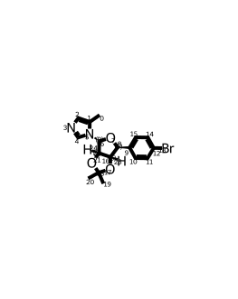 Cc1cncn1[C@@H]1O[C@@H](c2ccc(Br)cc2)[C@@H]2OC(C)(C)O[C@@H]21